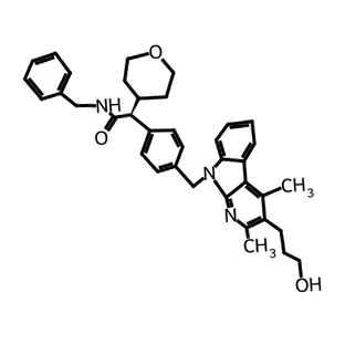 Cc1nc2c(c(C)c1CCCO)c1ccccc1n2Cc1ccc([C@@H](C(=O)NCc2ccccc2)C2CCOCC2)cc1